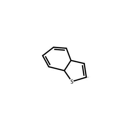 [C]1=CC2C=CC=CC2S1